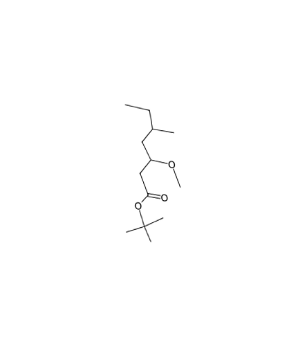 CCC(C)CC(CC(=O)OC(C)(C)C)OC